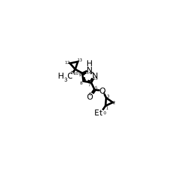 CCC1CC1OC(=O)c1cc(C2(C)CC2)[nH]n1